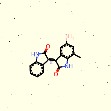 Bc1cc(C)c2c(c1)/C(=C1\C(=O)Nc3ccccc31)C(=O)N2